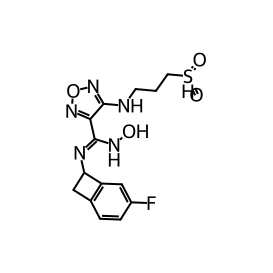 O=[SH](=O)CCCNc1nonc1C(=NC1Cc2ccc(F)cc21)NO